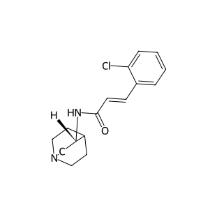 O=C(C=Cc1ccccc1Cl)N[C@H]1CN2CCC1CC2